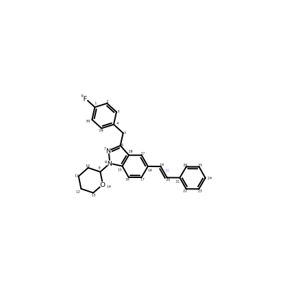 Fc1ccc(Cc2nn(C3CCCCO3)c3ccc(/C=C/c4ccccc4)cc23)cc1